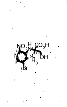 CC(CO)(Nc1cc(Br)cnc1[N+](=O)[O-])C(=O)O